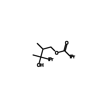 CC(C)C(=O)OCC(C)C(C)(O)C(C)C